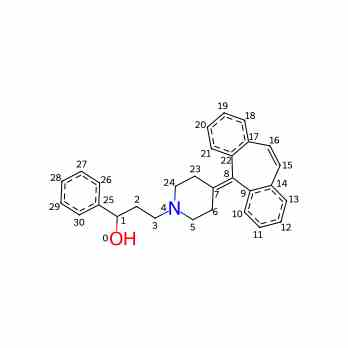 OC(CCN1CCC(=C2c3ccccc3C=Cc3ccccc32)CC1)c1ccccc1